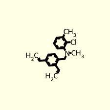 C=Cc1ccc(CN(C)c2cccc(C)c2Cl)c(C=C)c1